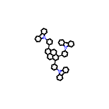 c1cc(-c2ccc3ccc4c(-c5cccc(-n6c7ccccc7c7ccccc76)c5)cc(-c5cccc(-n6c7ccccc7c7ccccc76)c5)c5ccc2c3c45)cc(-n2c3ccccc3c3ccccc32)c1